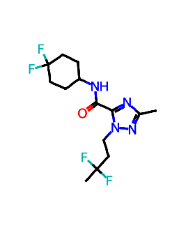 Cc1nc(C(=O)NC2CCC(F)(F)CC2)n(CCC(C)(F)F)n1